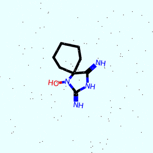 N=C1NC(=N)C2(CCCCC2)N1O